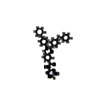 N=N/C(=N\N)NC(=O)c1ccc(CN(C(=O)c2ccc(Cc3ccccc3)cc2)c2ccc(C3CCCCC3)cc2)cc1